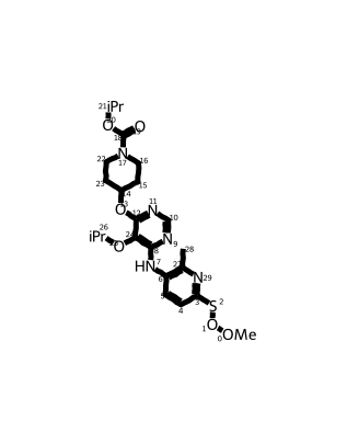 COOSc1ccc(Nc2ncnc(OC3CCN(C(=O)OC(C)C)CC3)c2OC(C)C)c(C)n1